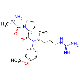 C[C@H](N)C(=O)N1CCC[C@H]1C(=O)N(c1ccccc1)[C@H](C=O)CCCNC(=N)N.O=S(=O)(O)O